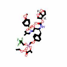 CCOOC(=O)C(C)OP(=O)(COc1ccc(C[C@H](NC(=O)O[C@H]2CO[C@H]3OCC[C@H]32)[C@H](O)CN(CC(C)C)S(=O)(=O)c2ccc(OC)cc2)cc1)OCC(F)(F)F